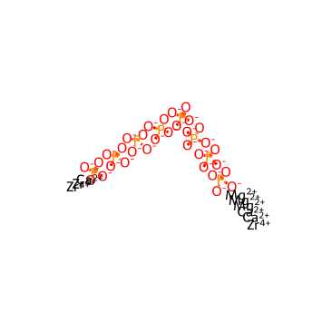 O=P([O-])([O-])[O-].O=P([O-])([O-])[O-].O=P([O-])([O-])[O-].O=P([O-])([O-])[O-].O=P([O-])([O-])[O-].O=P([O-])([O-])[O-].O=P([O-])([O-])[O-].O=P([O-])([O-])[O-].[Ca+2].[Ca+2].[Ca+2].[Mg+2].[Mg+2].[Mg+2].[Zr+4].[Zr+4].[Zr+4]